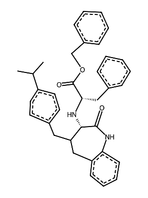 CC(C)c1ccc(CC2Cc3ccccc3NC(=O)[C@H]2N[C@@H](Cc2ccccc2)C(=O)OCc2ccccc2)cc1